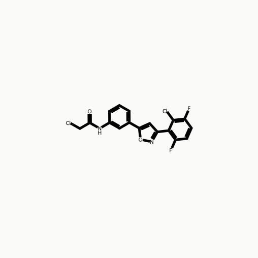 O=C(CCl)Nc1cccc(-c2cc(-c3c(F)ccc(F)c3Cl)no2)c1